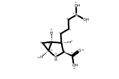 C[C@]1(CCCB(O)O)[C@@H](C(=O)O)N[C@H]2C[C@H]21